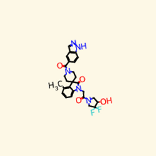 Cc1cccc2c1C1(CCN(C(=O)c3ccc4[nH]ncc4c3)CC1)C(=O)N2CC(=O)N1CC(O)C(F)(F)C1